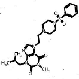 CC(C)Cn1c(=O)n(C)c(=O)c2c1ncn2CCN1CCN(S(=O)(=O)c2ccccc2)CC1